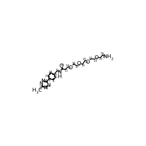 Cc1nnc(-c2ccc(CNC(=O)CCOCCOCCOCCOCCN)cc2)nn1